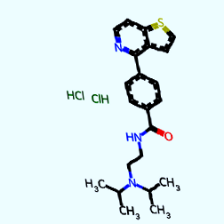 CC(C)N(CCNC(=O)c1ccc(-c2nccc3sccc23)cc1)C(C)C.Cl.Cl